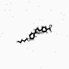 CCCCCOc1ccc(-c2ccc(-c3ccc(C(C)=O)cc3)[nH]2)cc1